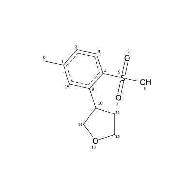 Cc1ccc(S(=O)(=O)O)c(C2CCOC2)c1